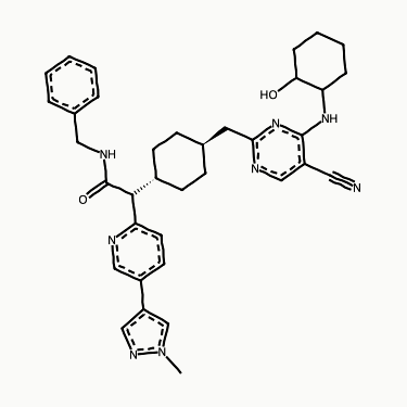 Cn1cc(-c2ccc(C(C(=O)NCc3ccccc3)[C@H]3CC[C@H](Cc4ncc(C#N)c(NC5CCCCC5O)n4)CC3)nc2)cn1